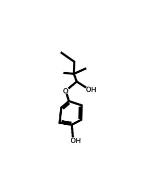 CCC(C)(C)C(O)Oc1ccc(O)cc1